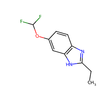 CCc1nc2ccc(OC(F)F)cc2[nH]1